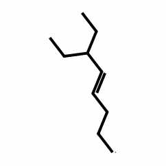 [CH2]CCC=CC(CC)CC